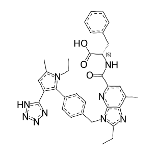 CCc1nc2c(C)cc(C(=O)N[C@@H](Cc3ccccc3)C(=O)O)nc2n1Cc1ccc(-c2c(-c3nnn[nH]3)cc(C)n2CC)cc1